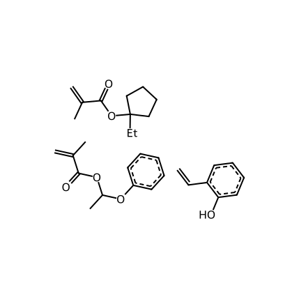 C=C(C)C(=O)OC(C)Oc1ccccc1.C=C(C)C(=O)OC1(CC)CCCC1.C=Cc1ccccc1O